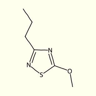 CCCc1nsc(OC)n1